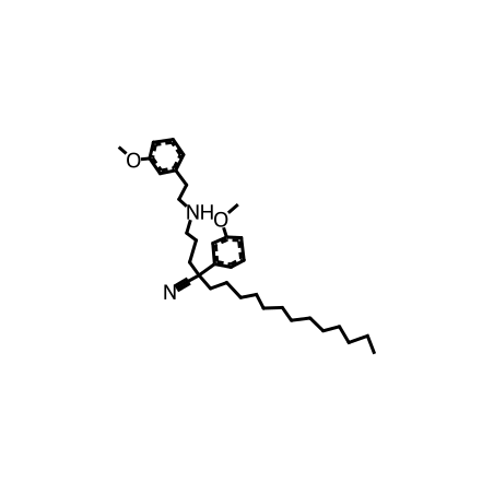 CCCCCCCCCCCCCC(C#N)(CCCNCCc1cccc(OC)c1)c1cccc(OC)c1